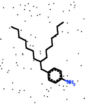 CCCCCCCC(CCCCCCC)Cc1ccc(N)cc1